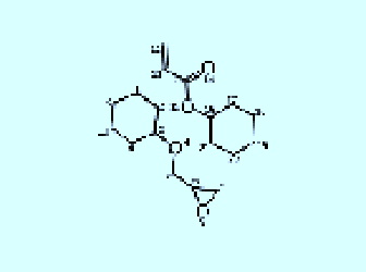 C1CCC(OCC2CO2)CC1.C=CC(=O)OC1CCCCC1